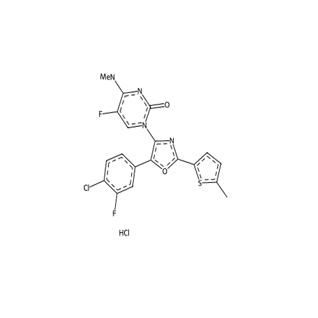 CNc1nc(=O)n(-c2nc(-c3ccc(C)s3)oc2-c2ccc(Cl)c(F)c2)cc1F.Cl